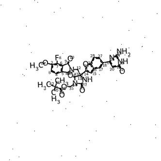 COc1ccc2c(c1F)C(=O)N(C[C@@]1(c3cc4cc(-c5cc(=O)[nH]c(N)n5)ccc4o3)NC(=O)N(COC(=O)C(C)(C)C)C1=O)C2